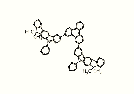 CC1(C)c2ccccc2-c2cc3c4cc(-c5ccc6c7ccccc7c7ccc(-c8ccc9c(c8)c8cc%10c(cc8n9-c8ccccc8)C(C)(C)c8ccccc8-%10)cc7c6c5)ccc4n(-c4ccccc4)c3cc21